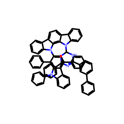 c1ccc(C2=NC(n3c4ccccc4c4ccc5c6ccccc6n(-c6cc(-c7ccccc7)c7c8ccccc8n(-c8ccccc8)c7c6-c6ccccc6)c5c43)NC(c3cccc(-c4ccccc4)c3)=N2)cc1